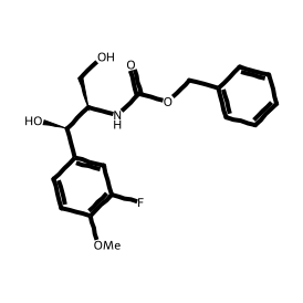 COc1ccc([C@@H](O)[C@@H](CO)NC(=O)OCc2ccccc2)cc1F